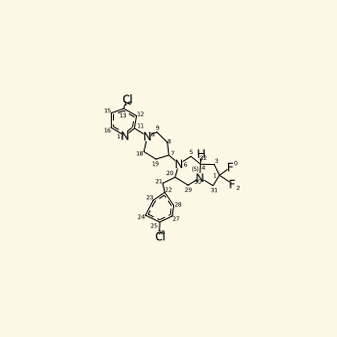 FC1(F)C[C@H]2CN(C3CCN(c4cc(Cl)ccn4)CC3)C(Cc3ccc(Cl)cc3)CN2C1